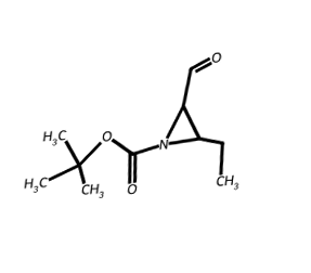 CCC1C(C=O)N1C(=O)OC(C)(C)C